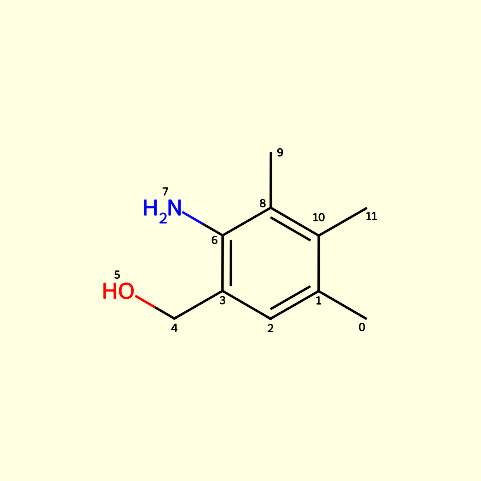 Cc1cc(CO)c(N)c(C)c1C